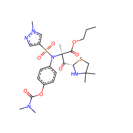 CCCOC(=O)[C@@](C)(C(=O)[C@H]1NC(C)(C)CS1)N(c1ccc(OC(=O)N(C)C)cc1)S(=O)(=O)c1cnn(C)c1